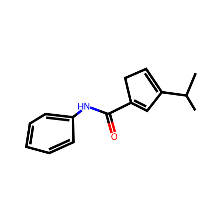 CC(C)C1=CCC(C(=O)Nc2ccccc2)=C1